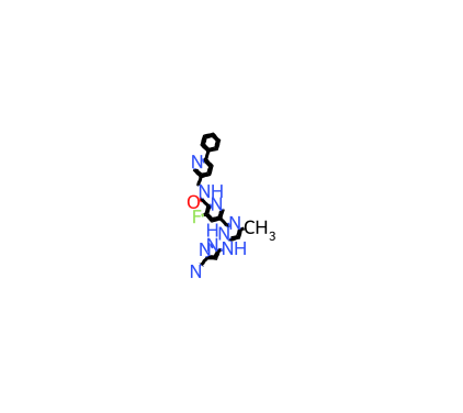 Cc1cc(Nc2cc(C#N)n[nH]2)nc(-c2cnc(C(=O)NCc3ccc(-c4ccccc4)nc3)c(F)c2)n1